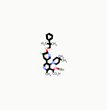 Cc1ncc(-c2cnc(OCC(C)(C)c3ccccc3)c(F)c2)c(N2CCC(C)(C)CC2)c1C(OC(C)(C)C)C(=O)O